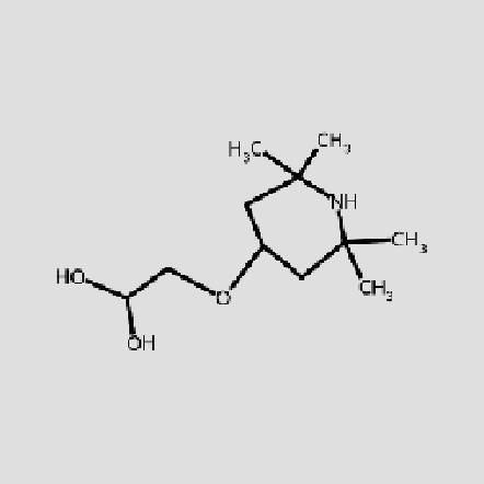 CC1(C)CC(OCC(O)O)CC(C)(C)N1